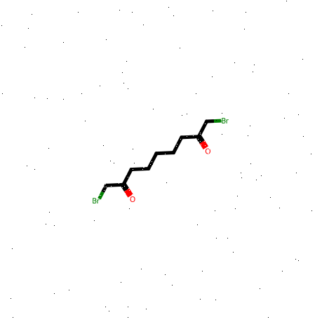 O=C(CBr)CCCCCC(=O)CBr